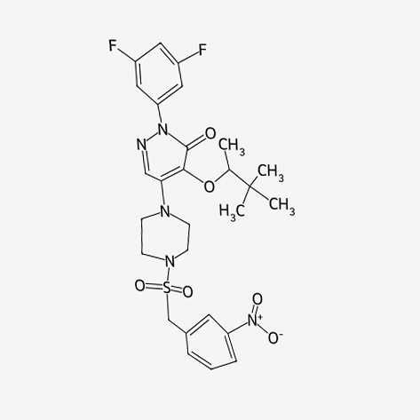 CC(Oc1c(N2CCN(S(=O)(=O)Cc3cccc([N+](=O)[O-])c3)CC2)cnn(-c2cc(F)cc(F)c2)c1=O)C(C)(C)C